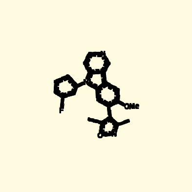 COc1cc2c3cnccc3n(-c3cccc(F)c3)c2cc1-c1c(C)noc1C